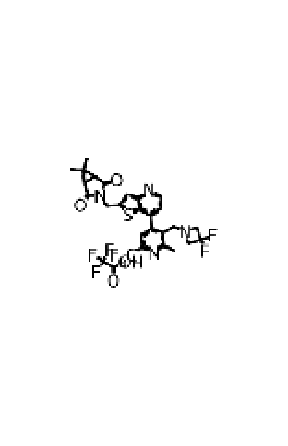 Cc1nc(C(F)(F)F)cc(-c2ccnc3cc(CN4C(=O)C5C(C4=O)C5(C)C)sc23)c1CN1CC(F)(F)C1.O=C(O)C(F)(F)F